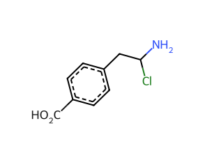 NC(Cl)Cc1ccc(C(=O)O)cc1